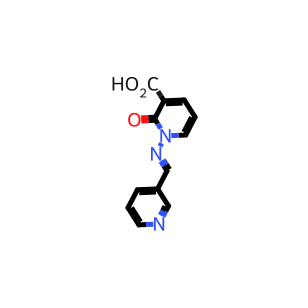 O=C(O)c1cccn(N=Cc2cccnc2)c1=O